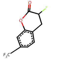 O=C1Oc2cc(C(F)(F)F)ccc2CC1F